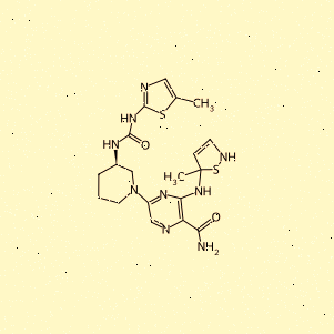 Cc1cnc(NC(=O)N[C@@H]2CCCN(c3cnc(C(N)=O)c(NC4(C)C=CNS4)n3)C2)s1